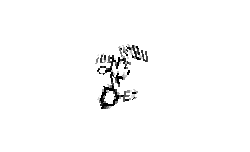 CCc1ccccc1N1CSC(=NC(C)(C)C)N(C(C)CC)C1=O